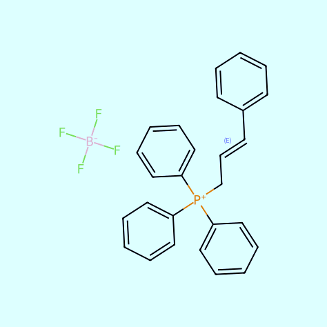 C(=C\c1ccccc1)/C[P+](c1ccccc1)(c1ccccc1)c1ccccc1.F[B-](F)(F)F